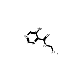 CCOC(=O)c1ncncc1Br